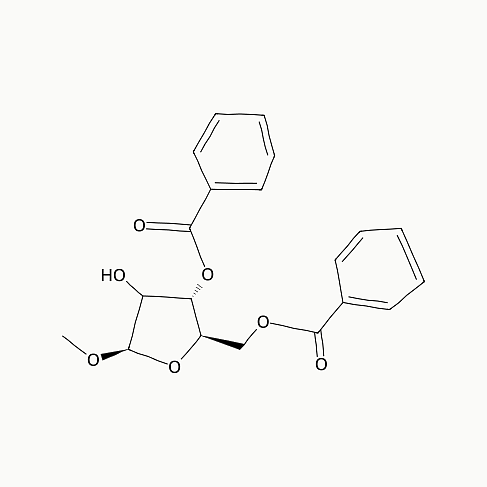 CO[C@@H]1O[C@H](COC(=O)c2ccccc2)[C@@H](OC(=O)c2ccccc2)C1O